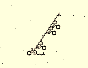 CC(C)=CCC/C(C)=C/C(C/C(C)=C/C(C/C(C)=C/CSC/C=C(\C)CC(/C=C(\C)CC(/C=C(\C)CCC=C(C)C)S(=O)(=O)c1ccccc1)S(=O)(=O)c1ccccc1)S(=O)(=O)c1ccccc1)S(=O)(=O)c1ccccc1